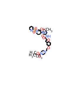 CC(C)CC(NC(=O)c1cc2cc(OCCN3CCN(C(=O)OC(C)(C)C)CC3)ccc2o1)C(=O)NC1CCCN(S(=O)(=O)c2ccccn2)C[C@@H]1O